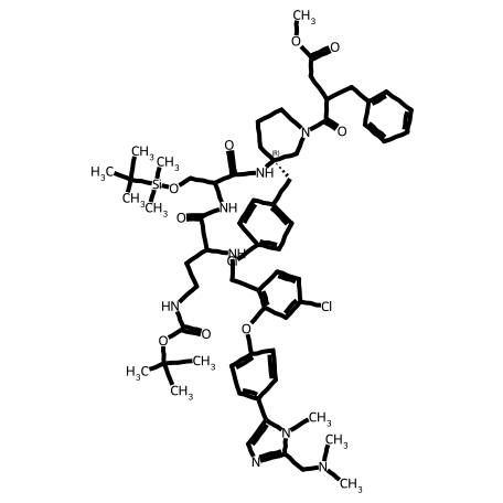 COC(=O)CC(Cc1ccccc1)C(=O)N1CCC[C@](Cc2ccc(Cl)cc2)(NC(=O)C(CO[Si](C)(C)C(C)(C)C)NC(=O)C(CCNC(=O)OC(C)(C)C)NCc2ccc(Cl)cc2Oc2ccc(-c3cnc(CN(C)C)n3C)cc2)C1